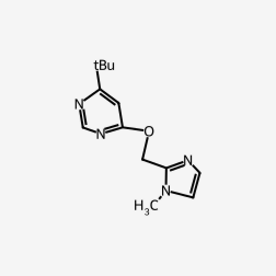 Cn1ccnc1COc1cc(C(C)(C)C)ncn1